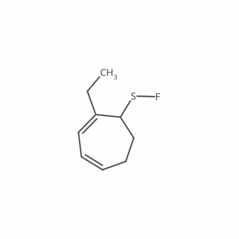 CCC1=CC=CCCC1SF